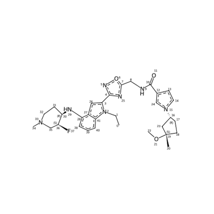 CCn1c(-c2noc(CNC(=O)c3ccn([C@@H]4CC[C@](C)(OC)C4)c3)n2)cc2c(N[C@@H]3CCN(C)C[C@@H]3F)cccc21